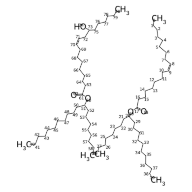 CCCCCCCC/C=C\CCCCCCCC(=O)OC(CCCCCCCC)CCCCCCCCCCC.CCCCCCCCCCCC(CCCCCCCC)OC(=O)CCCCCCC/C=C\CC(O)CCCCCC